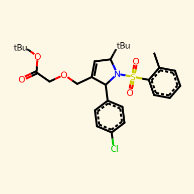 Cc1ccccc1S(=O)(=O)N1C(c2ccc(Cl)cc2)C(COCC(=O)OC(C)(C)C)=CC1C(C)(C)C